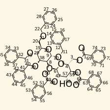 O=C(OC[C@H]1O[C@H](O[C@@H]2[C@@H](OCc3ccccc3)O[C@H](COCc3ccccc3)[C@@H](OCc3ccccc3)[C@@H]2OCc2ccccc2)[C@@H](OC(=O)c2ccccc2)[C@@H](O)[C@@H]1OC(=O)c1ccccc1)c1ccccc1